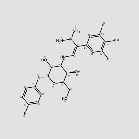 CN(N)/C(=C\NC1C(O)[C@@H](Sc2ccc(F)cc2)OC(CO)[C@@H]1O)c1cc(F)c(F)c(F)c1